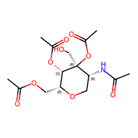 CC(=O)N[C@@H]1CO[C@H](COC(C)=O)[C@H](OC(C)=O)[C@@]1(CO)OC(C)=O